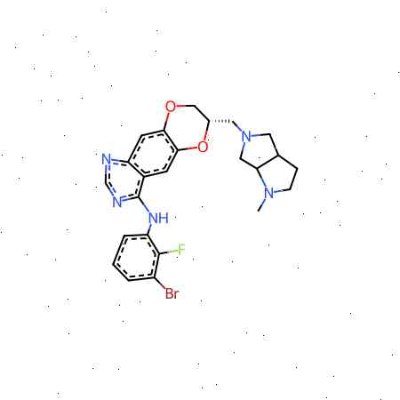 CN1CCC2CN(C[C@H]3COc4cc5ncnc(Nc6cccc(Br)c6F)c5cc4O3)CC21